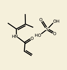 C=CC(=O)NC(C)=C(C)C.O=S(=O)(O)O